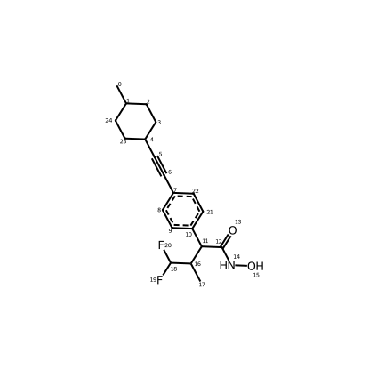 CC1CCC(C#Cc2ccc(C(C(=O)NO)C(C)C(F)F)cc2)CC1